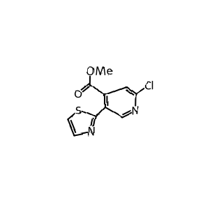 COC(=O)c1cc(Cl)ncc1-c1nccs1